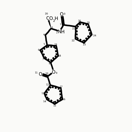 O=C(N[C@@H](Cc1ccc(OC(=O)c2ccccc2)cc1)C(=O)O)c1ccccc1